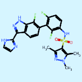 Cc1nn(C)c(C)c1S(=O)(=O)Nc1ccc(F)c(-c2ccc3c(-c4ncc[nH]4)n[nH]c3c2F)c1F